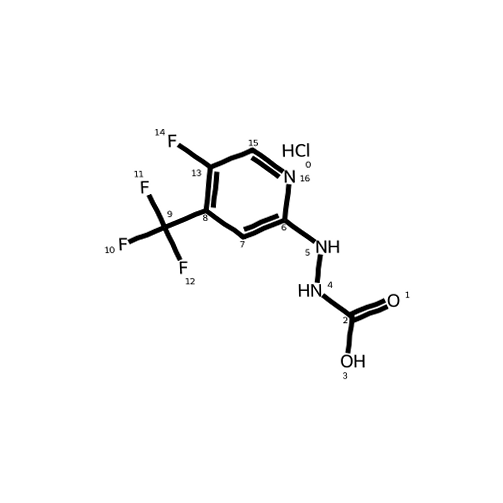 Cl.O=C(O)NNc1cc(C(F)(F)F)c(F)cn1